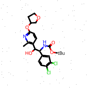 Cc1nc(OC2CCOC2)ccc1C(O)C(NC(=O)OC(C)(C)C)c1ccc(Cl)c(Cl)c1